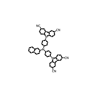 N#Cc1ccc2c(c1)c1cc(C#N)ccc1n2-c1ccc(N(c2ccc(-n3c4ccc(C#N)cc4c4cc(C#N)ccc43)cc2)c2ccc3ccccc3c2)cc1